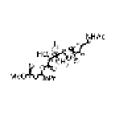 CCCC(OC(=O)OC)OC(=O)[C@H](O)C(C)(C)COS(=O)(=O)CCCNC(C)=O